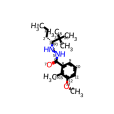 CCC[C@@H](NNC(=O)c1cccc(OC)c1C)C(C)(C)C